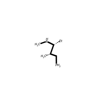 CB[C@H](CC)[C@@H](C)CP